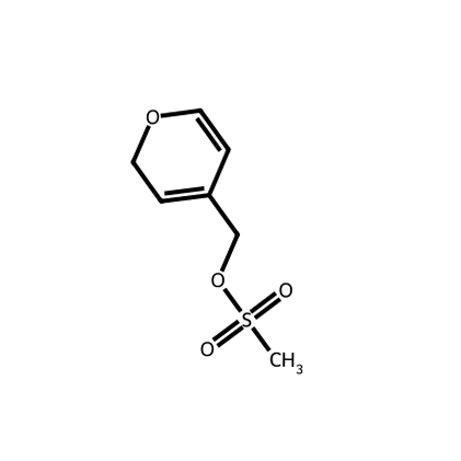 CS(=O)(=O)OCC1=CCOC=C1